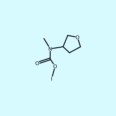 CN(C(=O)OI)C1CCOC1